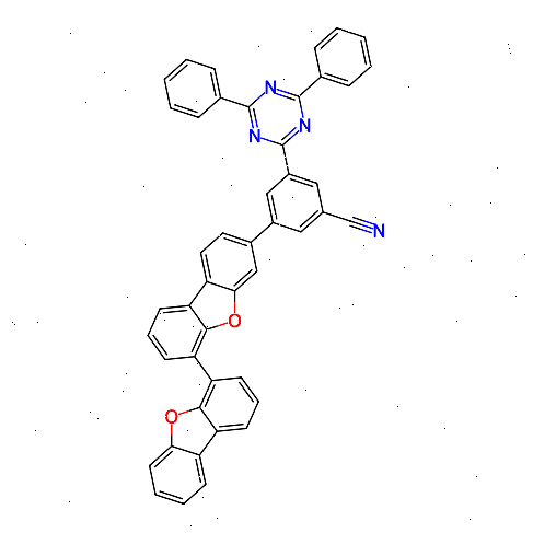 N#Cc1cc(-c2ccc3c(c2)oc2c(-c4cccc5c4oc4ccccc45)cccc23)cc(-c2nc(-c3ccccc3)nc(-c3ccccc3)n2)c1